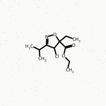 CCOC(=O)C1(CC)ON=C(C(C)C)C1Cl